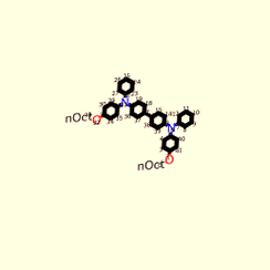 CCCCCCCCOc1ccc(N(c2ccccc2)c2ccc(-c3ccc(N(c4ccccc4)c4ccc(OCCCCCCCC)cc4)cc3)cc2)cc1